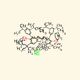 COc1c(C(C)(C)C)cc2c(c1-c1cc(C(C)C)cc(C(C)C)c1)C=C(C)[CH]2[Zr]([CH3])([CH3])(=[SiH2])[CH]1C(C)=Cc2c1cc(C(C)(C)C)c(OC)c2-c1cc(C(C)C)cc(C(C)C)c1.Cl.Cl